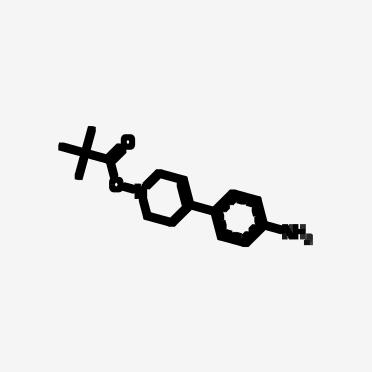 CC(C)(C)C(=O)ON1CC=C(c2ccc(N)cc2)CC1